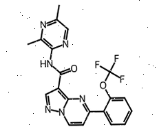 Cc1cnc(NC(=O)c2cnn3ccc(-c4ccccc4OC(F)(F)F)nc23)c(C)n1